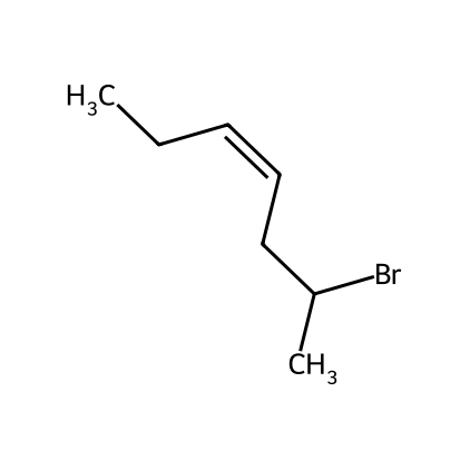 CC/C=C\CC(C)Br